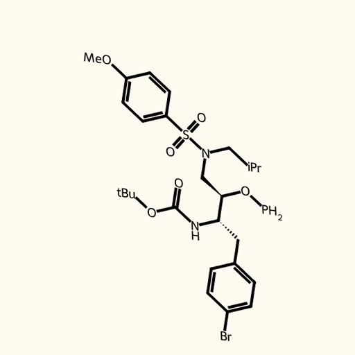 COc1ccc(S(=O)(=O)N(CC(C)C)C[C@@H](OP)[C@H](Cc2ccc(Br)cc2)NC(=O)OC(C)(C)C)cc1